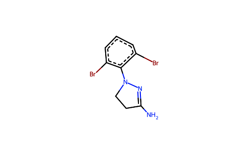 NC1=NN(c2c(Br)cccc2Br)CC1